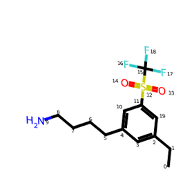 CCc1cc(CCCCN)cc(S(=O)(=O)C(F)(F)F)c1